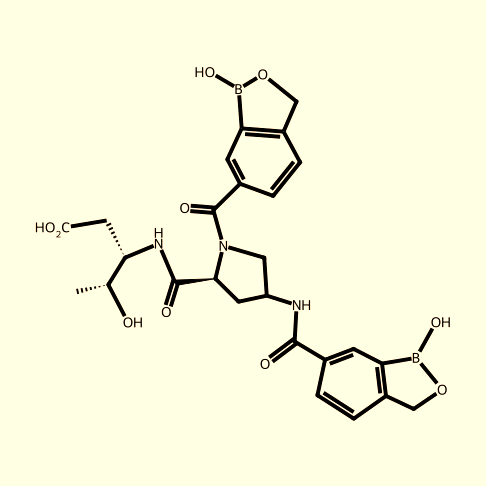 C[C@@H](O)[C@H](CC(=O)O)NC(=O)[C@@H]1CC(NC(=O)c2ccc3c(c2)B(O)OC3)CN1C(=O)c1ccc2c(c1)B(O)OC2